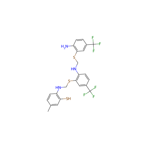 Cc1ccc(NCSc2cc(C(F)(F)F)ccc2NCSc2cc(C(F)(F)F)ccc2N)c(S)c1